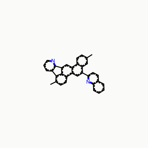 Cc1ccc2c(c1)c(-c1ccc3ccccc3n1)cc1c3ccc(C)c4c3c(cc21)-c1ncccc1-4